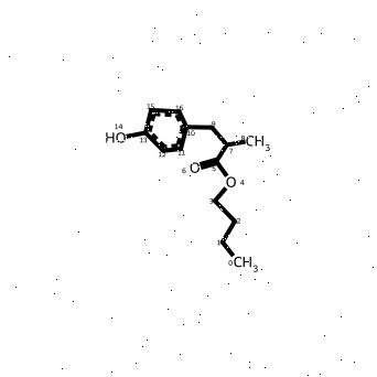 CCCCOC(=O)C(C)Cc1ccc(O)cc1